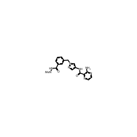 CNNC(=O)c1cccc(Cn2cc(NC(=O)c3nccnc3N)cn2)c1